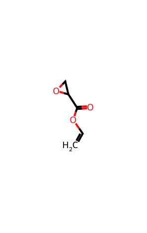 C=COC(=O)C1CO1